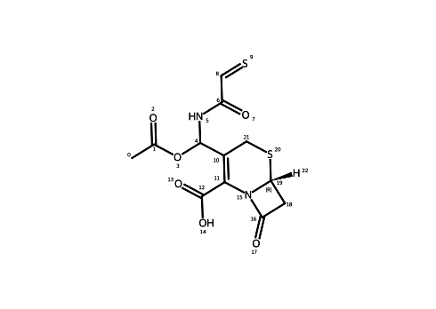 CC(=O)OC(NC(=O)C=S)C1=C(C(=O)O)N2C(=O)C[C@H]2SC1